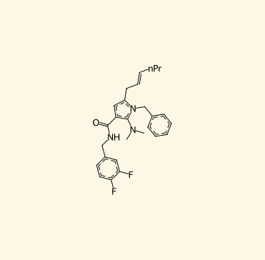 CCC/C=C/Cc1cc(C(=O)NCc2ccc(F)c(F)c2)c(N(C)C)n1Cc1ccccc1